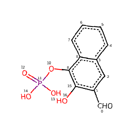 O=Cc1cc2ccccc2c(OP(=O)(O)O)c1O